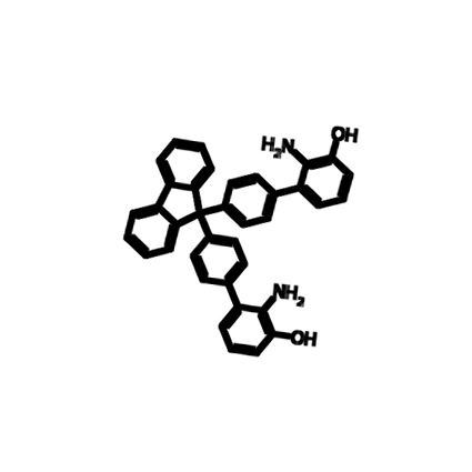 Nc1c(O)cccc1-c1ccc(C2(c3ccc(-c4cccc(O)c4N)cc3)c3ccccc3-c3ccccc32)cc1